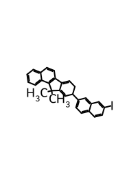 CC1(C)C2=CC(c3ccc4ccc(I)cc4c3)CC=C2c2ccc3ccccc3c21